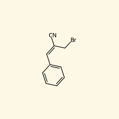 N#CC(=Cc1ccccc1)CBr